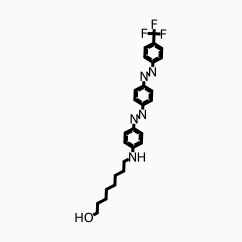 OCCCCCCCCNc1ccc(N=Nc2ccc(N=Nc3ccc(C(F)(F)F)cc3)cc2)cc1